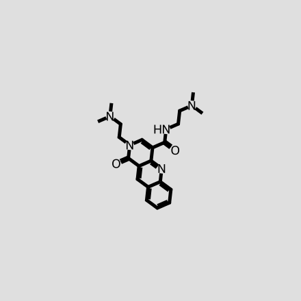 CN(C)CCNC(=O)c1cn(CCN(C)C)c(=O)c2cc3ccccc3nc12